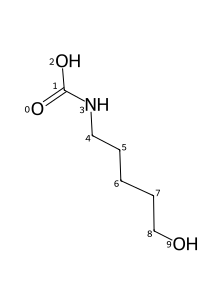 O=C(O)NCCCCCO